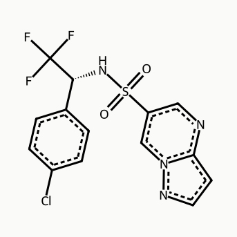 O=S(=O)(N[C@H](c1ccc(Cl)cc1)C(F)(F)F)c1cnc2ccnn2c1